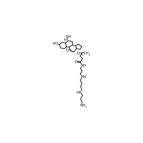 CC(CCC(=O)NCCCNCCCCNCCCN)[C@H]1CCC2C3C[C@H](O)[C@@H]4C[C@H](O)CC[C@]4(C)C3CC[C@@]21C